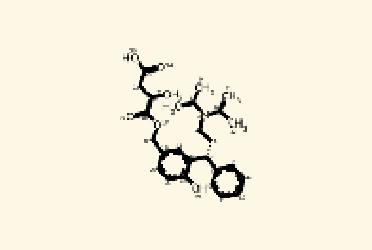 CC(C)N(CC[C@H](c1ccccc1)c1cc(COC(=O)C(O)CC(=O)O)ccc1O)C(C)C